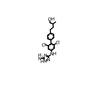 CC(CO)CCc1ccc(-c2c(Cl)cc(Nc3n[nH]c(N)n3)cc2Cl)cc1